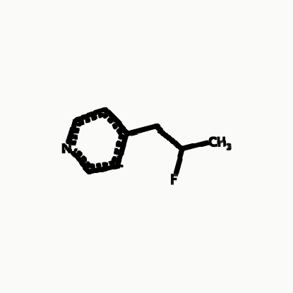 CC(F)Cc1[c]cncc1